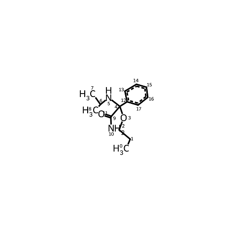 CCCOC(NC(C)C)(C(N)=O)c1ccccc1